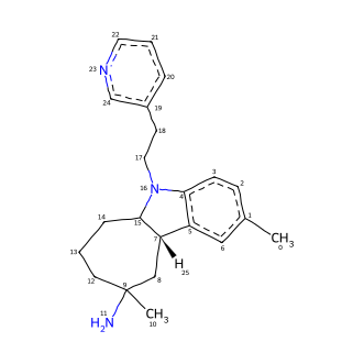 Cc1ccc2c(c1)[C@@H]1CC(C)(N)CCCC1N2CCc1cccnc1